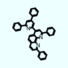 c1ccc(-c2cc(-c3ccccc3)nc(-c3cc(-c4ccccc4)nc4c3ccc3ccc(-c5ccccc5)nc34)c2)cc1